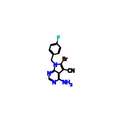 N#Cc1c(Br)n(Cc2ccc(F)cc2)c2ncnc(N)c12